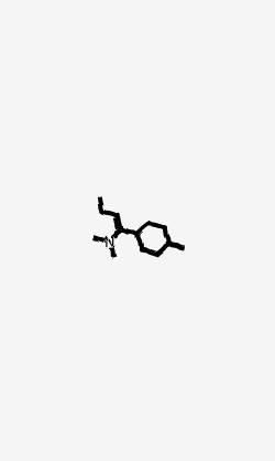 CCC=C(C1CCC(C)CC1)N(C)C